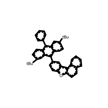 CC(C)(C)c1ccc2c(-c3ccc4oc5ccc6ccccc6c5c4c3)c3cc(C(C)(C)C)ccc3c(-c3ccccc3)c2c1